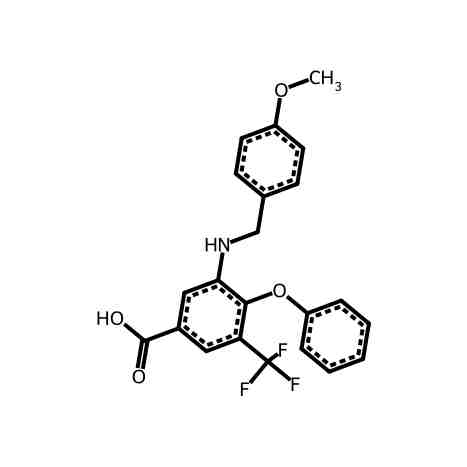 COc1ccc(CNc2cc(C(=O)O)cc(C(F)(F)F)c2Oc2ccccc2)cc1